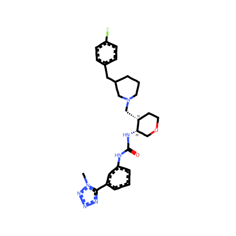 Cn1nnnc1-c1cccc(NC(=O)N[C@H]2COCC[C@H]2CN2CCCC(Cc3ccc(F)cc3)C2)c1